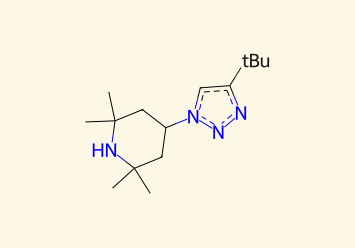 CC1(C)CC(n2cc(C(C)(C)C)nn2)CC(C)(C)N1